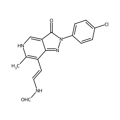 Cc1[nH]cc2c(=O)n(-c3ccc(Cl)cc3)nc-2c1C=CNC=O